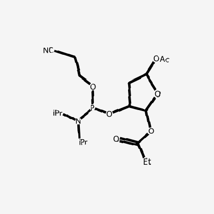 CCC(=O)OC1OC(OC(C)=O)CC1OP(OCCC#N)N(C(C)C)C(C)C